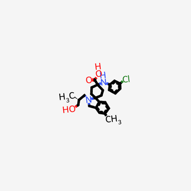 Cc1ccc2c(c1)CN(C[C@@H](C)CO)C21CCC(Nc2cccc(Cl)c2)(C(=O)O)CC1